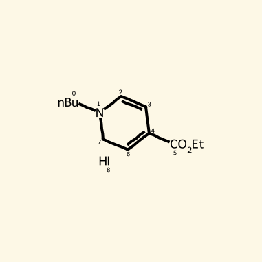 CCCCN1C=CC(C(=O)OCC)=CC1.I